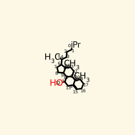 CC(C)CCCC(C)C1CCC2C3C(O)CC4=CCCCC4(C)C3CCC12C